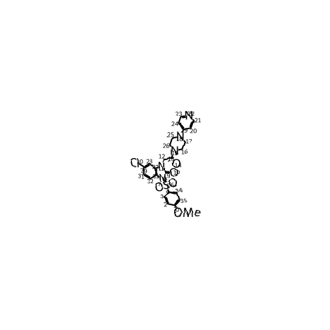 COc1ccc(S(=O)(=O)n2c(=O)n(CC(=O)N3CCN(c4ccncc4)CC3)c3cc(Cl)ccc32)cc1